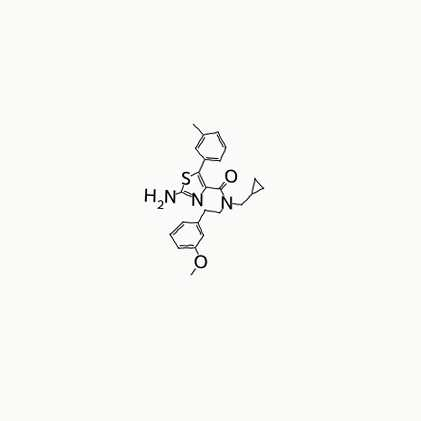 COc1cccc(CCN(CC2CC2)C(=O)c2nc(N)sc2-c2cccc(C)c2)c1